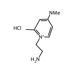 CNc1cc[n+](CCN)c(C)c1.Cl